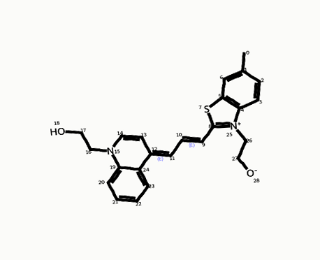 Cc1ccc2c(c1)sc(/C=C/C=C1\C=CN(CCO)c3ccccc31)[n+]2CC[O-]